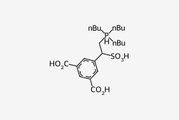 CCCC[PH](CCCC)(CCCC)CC(c1cc(C(=O)O)cc(C(=O)O)c1)S(=O)(=O)O